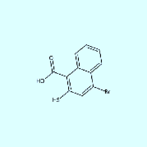 O=C(O)c1c(S)cc(Br)c2ccccc12